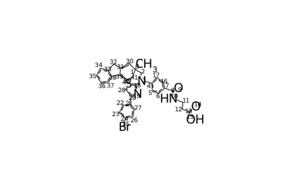 CC1(CN(c2ccc(C(=O)NCCC(=O)O)cc2)c2nc(-c3ccc(Br)cc3)cs2)C=C2Cc3ccccc3C2=CC1